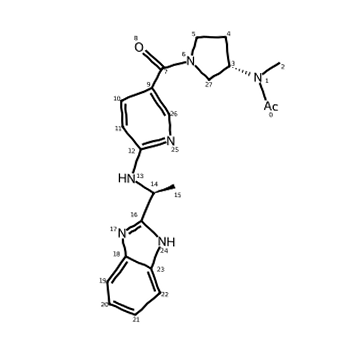 CC(=O)N(C)[C@H]1CCN(C(=O)c2ccc(N[C@@H](C)c3nc4ccccc4[nH]3)nc2)C1